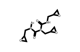 CC(=O)N(CC1CO1)C(=O)N(CC1CO1)C(=O)NCC1CO1